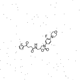 O=C(CCC(=O)c1cccs1)NCC1CN(c2ccc(N3CCOCC3)c(F)c2)C(=O)O1